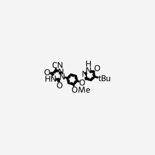 COc1cc(-n2nc(C#N)c(=O)[nH]c2=O)ccc1Oc1cc(C(C)(C)C)c(=O)[nH]n1